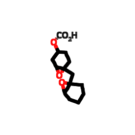 O=C(O)OC1CCC2(CC34CCCCC3O4)OC2C1